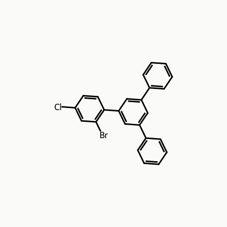 Clc1ccc(-c2cc(-c3ccccc3)cc(-c3ccccc3)c2)c(Br)c1